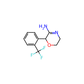 NC1=NCCOC1c1ccccc1C(F)(F)F